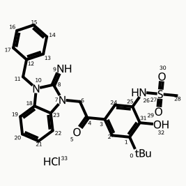 CC(C)(C)c1cc(C(=O)Cn2c(=N)n(Cc3ccccc3)c3ccccc32)cc(NS(C)(=O)=O)c1O.Cl